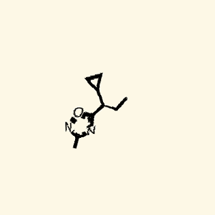 CC[C@@H](c1nc(C)no1)C1CC1